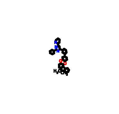 CC1(C)c2ccccc2-c2c1ccc1c2Oc2ccc(-c3cccc(-c4cc(-c5ccccn5)nc(-c5ccccc5)n4)c3)cc2O1